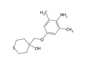 Cc1cc(OCC2(O)CCSCC2)cc(C)c1N